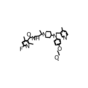 COCCOc1ccc(N(Cc2cnccc2C)C2CCN(C(C)CCNC(=O)c3c(C)cc(F)nc3C)CC2)cc1